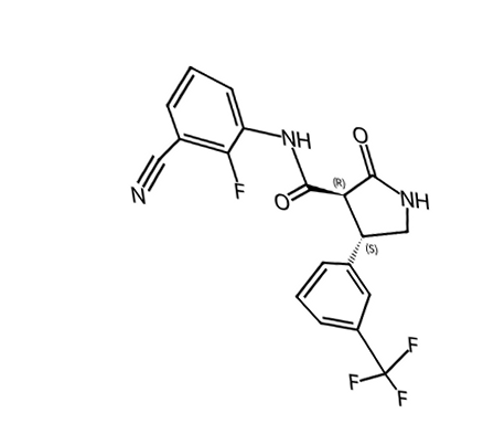 N#Cc1cccc(NC(=O)[C@H]2C(=O)NC[C@@H]2c2cccc(C(F)(F)F)c2)c1F